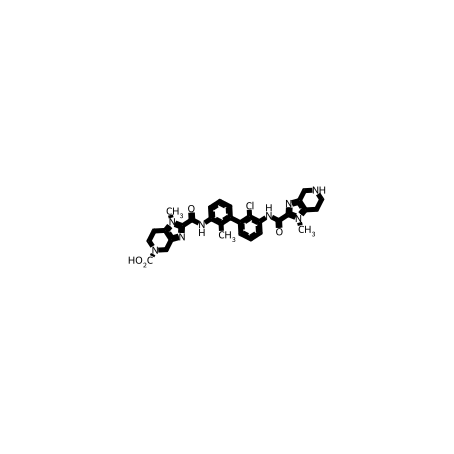 Cc1c(NC(=O)c2nc3c(n2C)CCN(C(=O)O)C3)cccc1-c1cccc(NC(=O)c2nc3c(n2C)CCNC3)c1Cl